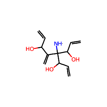 C=CC(O)C(=C)C([NH])(C(O)C=C)C(O)C=C